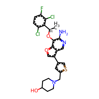 C[C@@H](Oc1c(N)ncc2c(-c3csc(CN4CCC(O)CC4)c3)coc12)c1c(Cl)ccc(F)c1Cl